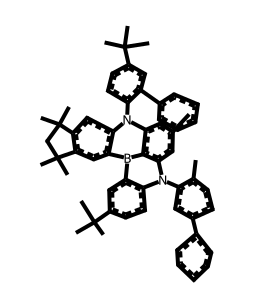 Cc1cc2c3c(c1)N(c1ccc(C(C)(C)C)cc1-c1ccccc1)c1cc4c(cc1B3c1cc(C(C)(C)C)ccc1N2c1cc(-c2ccccc2)ccc1C)C(C)(C)CC4(C)C